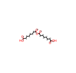 O=C(O)CCCCCCC(=O)OC(=O)CCCCCCC(=O)O